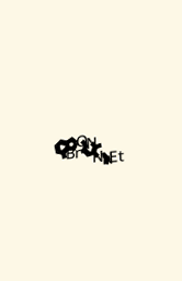 CCN(C)/C=N/c1cc(Br)c(OC2Cc3cccc(C)c3C2)nc1C